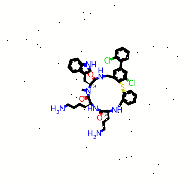 CN1C(=O)[C@H](CCCCN)NC(=O)[C@H](CCCN)NCc2ccccc2Sc2c(Cl)cc(-c3ccccc3Cl)cc2CNC(=O)[C@@H]1Cc1c[nH]c2ccccc12